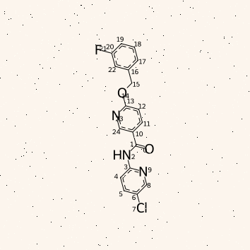 O=C(Nc1ccc(Cl)cn1)c1ccc(OCc2cccc(F)c2)nc1